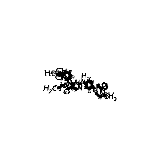 C=CCn1c(=O)c2cnc(Nc3ccc(N4CCN(C)C(=O)C4)cc3)nc2n1-c1cccc(C(C)(C)O)n1